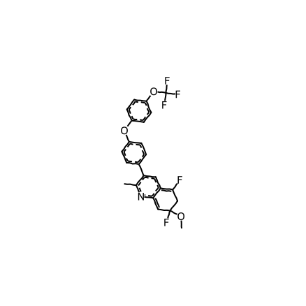 COC1(F)C=c2nc(C)c(-c3ccc(Oc4ccc(OC(F)(F)F)cc4)cc3)cc2=C(F)C1